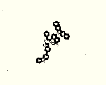 CN1c2c(oc3cc(-c4ccc5sc6ccccc6c5c4)ccc23)N=C(c2ccccc2)C1c1ccc(-n2c3cc4ccccc4cc3c3cc4ccccc4cc32)c2ccccc12